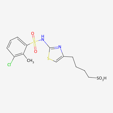 Cc1c(Cl)cccc1S(=O)(=O)Nc1nc(CCCCS(=O)(=O)O)cs1